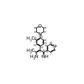 C/C(N)=C(/C(=N)c1ccncc1)c1ccc(N2CCOCC2)c(C)c1